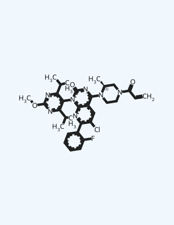 C=CC(=O)N1CCN(c2nc(=O)n(-c3c(C(C)C)nc(OC)nc3C(C)C)c3nc(-c4ccccc4F)c(Cl)cc23)[C@@H](C)C1